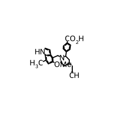 C#CC[C@@H]1CCN(Cc2c(OC)cc(C)c3[nH]ccc23)C(c2ccc(C(=O)O)cc2)C1